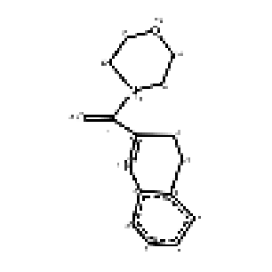 O=C(C1=Nc2ccccc2CC1)N1CCOCC1